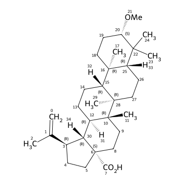 C=C(C)[C@@H]1CC[C@]2(C(=O)O)CC[C@]3(C)[C@H](CC[C@@H]4[C@@]5(C)CC[C@H](OC)C(C)(C)[C@@H]5CC[C@]43C)[C@@H]12